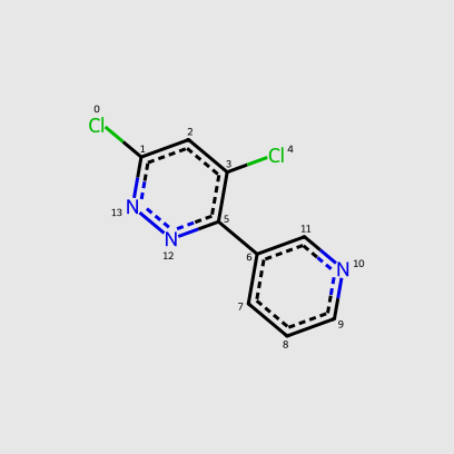 Clc1cc(Cl)c(-c2cccnc2)nn1